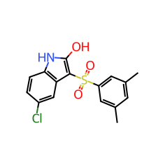 Cc1cc(C)cc(S(=O)(=O)c2c(O)[nH]c3ccc(Cl)cc23)c1